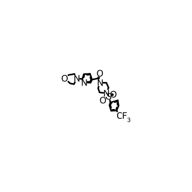 O=C(c1ccc(N2CCOCC2)nc1)N1CCN(S(=O)(=O)c2ccc(C(F)(F)F)cc2)CC1